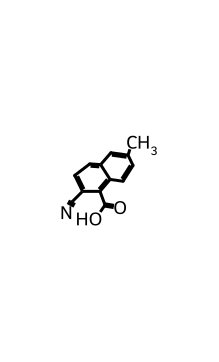 Cc1ccc2c(C(=O)O)c(C#N)ccc2c1